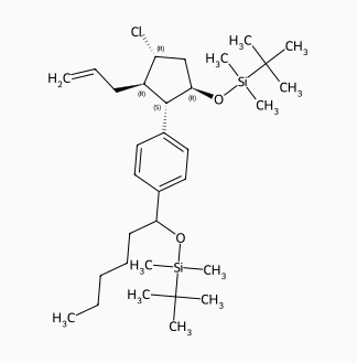 C=CC[C@@H]1[C@@H](c2ccc(C(CCCCC)O[Si](C)(C)C(C)(C)C)cc2)[C@H](O[Si](C)(C)C(C)(C)C)C[C@H]1Cl